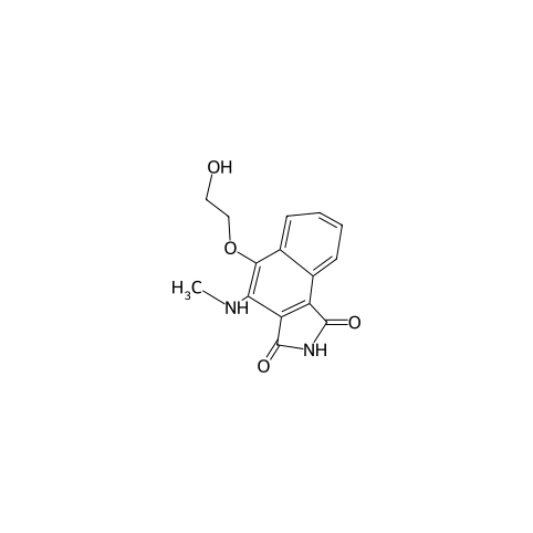 CNc1c2c(c3ccccc3c1OCCO)C(=O)NC2=O